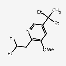 CCC(CC)Cc1ncc(C(C)(CC)CC)cc1OC